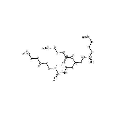 CCCCCCCCCCCCCC(=O)OCC(CCNC(=O)OCCOCCOC)OC(=O)CCCCCCCCCCCCC